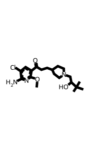 COc1nc(N)c(Cl)cc1C(=O)CCC1CCN(CC(O)C(C)(C)C)CC1